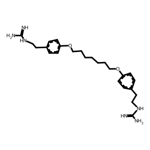 N=C(N)NCCc1ccc(OCCCCCCCOc2ccc(CCNC(=N)N)cc2)cc1